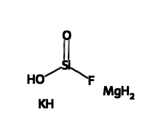 O=[Si](O)F.[KH].[MgH2]